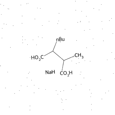 CCCCC(C(=O)O)C(C)C(=O)O.[NaH]